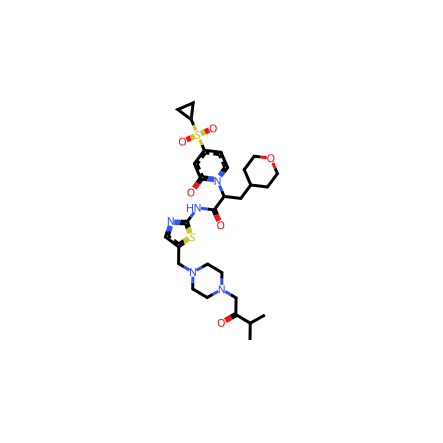 CC(C)C(=O)CN1CCN(Cc2cnc(NC(=O)C(CC3CCOCC3)n3ccc(S(=O)(=O)C4CC4)cc3=O)s2)CC1